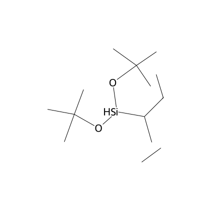 CC.CCC(C)[SiH](OC(C)(C)C)OC(C)(C)C